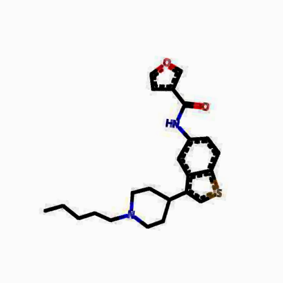 CCCCCN1CCC(c2csc3ccc(NC(=O)c4ccoc4)cc23)CC1